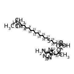 CC[Si](C)(C)CCCCCCCCCCCCCSCCCOP(=O)(O)CO[C@H](C)Cn1cnc2c(N)ncnc21